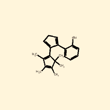 CC1=C(C)C(C)(C)C(C2=CC[C]=C2c2ccccc2C(C)(C)C)=C1C